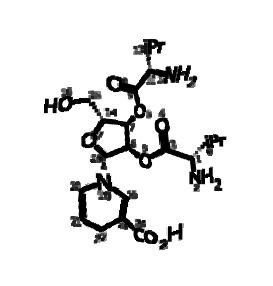 CC(C)[C@H](N)C(=O)O[C@@H]1[C@H](OC(=O)[C@@H](N)C(C)C)[C@@H](CO)O[C@H]1N1C=CCC(C(=O)O)=C1